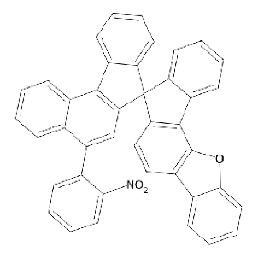 O=[N+]([O-])c1ccccc1-c1cc2c(c3ccccc13)-c1ccccc1C21c2ccccc2-c2c1ccc1c2oc2ccccc21